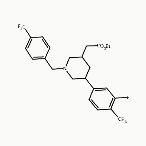 CCOC(=O)CC1CC(c2ccc(C(F)(F)F)c(F)c2)CN(Cc2ccc(C(F)(F)F)cc2)C1